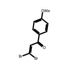 COc1ccc(C(=O)C=C(Br)Br)cc1